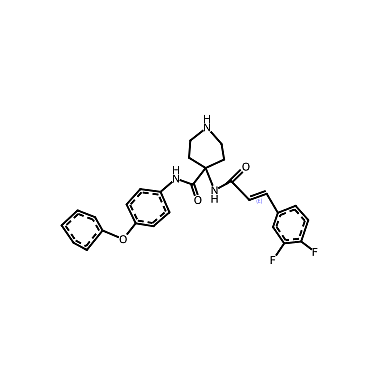 O=C(/C=C/c1ccc(F)c(F)c1)NC1(C(=O)Nc2ccc(Oc3ccccc3)cc2)CCNCC1